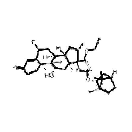 C[C@@H]1C[C@H]2[C@@H]3C[C@H](F)C4=CC(=O)C=C[C@]4(C)[C@@]3(F)[C@@H](O)C[C@]2(C)[C@@]1(OC(=O)O[C@@H]1C[C@@H]2CC[C@@]1(C)C2(C)C)C(=O)OCF